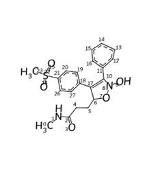 CNC(=O)CCC1ON(O)C(c2ccccc2)=C1c1ccc(S(C)(=O)=O)cc1